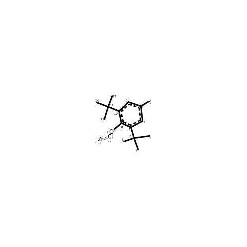 Cc1cc(C(C)(C)C)c([O-])c(C(C)(C)C)c1.[Cl-].[Zr+2]